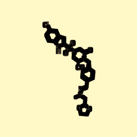 CN(CC1OCCO1)N=Cc1ccc(CN2C(=O)CN(S(=O)(=O)c3cc4cc(Cl)ccc4[nH]3)C[C@@H]2C(=O)O)cc1